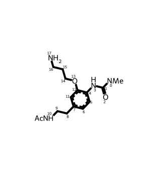 CNC(=O)Nc1ccc(CCNC(C)=O)cc1OCCCN